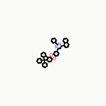 c1ccc(-c2nc(-c3ccc4c(c3)Oc3c(ccc5c3-c3ccccc3C5(c3ccccc3)c3ccccc3)O4)cc(-c3cccc4ccccc34)n2)cc1